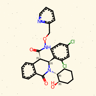 O=C(NOCc1ccccn1)[C@H]1c2ccccc2C(=O)N([C@@H]2CCCC[C@H]2O)[C@@H]1c1ccc(Cl)cc1Cl